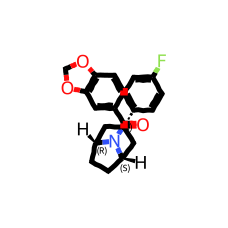 O=C(c1ccc2c(c1)OCO2)N1[C@@H]2CC[C@H]1C[C@@H](c1ccc(F)cc1)C2